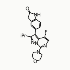 CC(C)c1nn2c(N3CCOCC3)ncc(F)c2c1-c1ccc2c(c1)CC(=O)N2